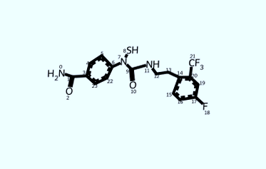 NC(=O)c1ccc(N(S)C(=O)NCCc2ccc(F)cc2C(F)(F)F)cc1